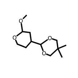 COC1CC(C2OCC(C)(C)CO2)CCO1